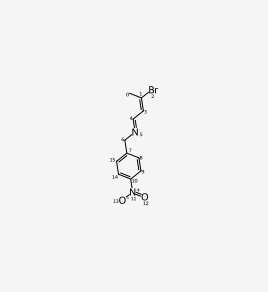 C/C(Br)=C\C=N\Cc1ccc([N+](=O)[O-])cc1